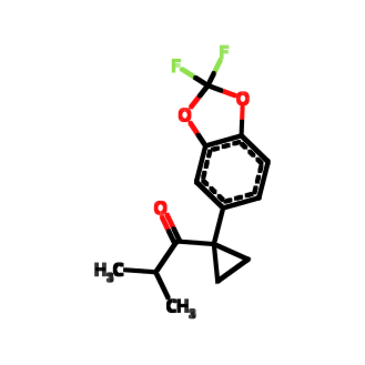 CC(C)C(=O)C1(c2ccc3c(c2)OC(F)(F)O3)CC1